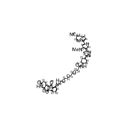 CNc1cc(-c2ccc3cc(C#N)cnn23)ncc1-c1nnc(C2CCC(NC(=O)CCOCCOCCOCCNc3cccc4c3C(=O)N(C3CCC(=O)NC3=O)C4=O)CC2)s1